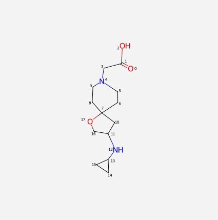 O=C(O)CN1CCC2(CC1)CC(NC1CC1)CO2